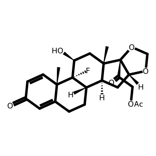 CC(=O)OCC(=O)[C@@]12OCO[C@@H]1C[C@H]1[C@@H]3CCC4=CC(=O)C=C[C@]4(C)[C@@]3(F)[C@@H](O)C[C@@]12C